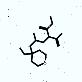 C=C(C)C(CC(C)CC1(CC)CCSCC1)C(=C)CC